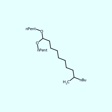 CCCCCOC(CCCCCCCC(C)CCCC)OCCCCC